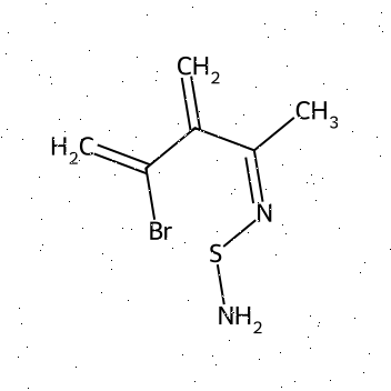 C=C(Br)C(=C)/C(C)=N\SN